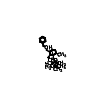 C=C[C@H]1[C@@H](COCc2ccccc2)[C@@H]2C[C@H](C)[C@@]1(CO[Si](C)(C)C(C)(C)C)O2